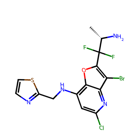 C[C@H](N)C(F)(F)c1oc2c(NCc3nccs3)cc(Cl)nc2c1Br